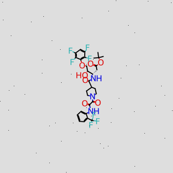 CC(C)(C)OC(=O)C[C@H](NC(=O)C1CCN(C(=O)C(=O)Nc2ccccc2C(F)(F)F)CC1)C(O)COc1c(F)c(F)cc(F)c1F